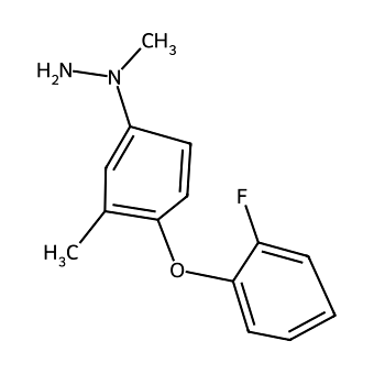 Cc1cc(N(C)N)ccc1Oc1ccccc1F